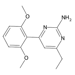 CCc1cc(-c2c(OC)cccc2OC)nc(N)n1